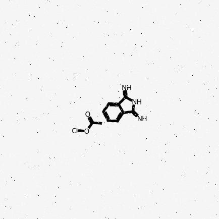 CC(=O)OCl.N=C1NC(=N)c2ccccc21